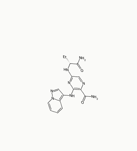 CC[C@@H](Nc1cnc(C(N)=O)c(Nc2cnn3ccccc23)n1)C(N)=O